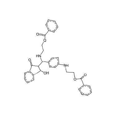 O=C(OCCNc1ccc(C(NCCOC(=O)c2ccccc2)C2C(=O)c3ccccc3C2O)cc1)c1ccccc1